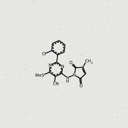 CSc1nc(-c2ccccc2Cl)nc(NN2C(=O)C=C(C)C2=O)c1C#N